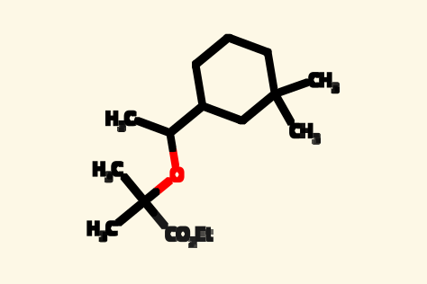 CCOC(=O)C(C)(C)OC(C)C1CCCC(C)(C)C1